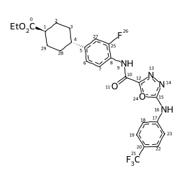 CCOC(=O)[C@H]1CC[C@H](c2ccc(NC(=O)c3nnc(Nc4ccc(C(F)(F)F)cc4)o3)c(F)c2)CC1